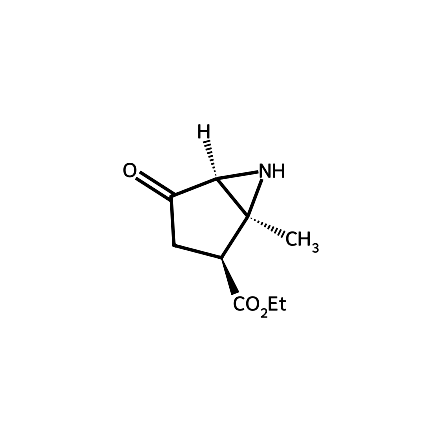 CCOC(=O)[C@H]1CC(=O)[C@H]2N[C@@]12C